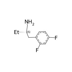 CC[C@H](CN)Cc1ccc(F)cc1F